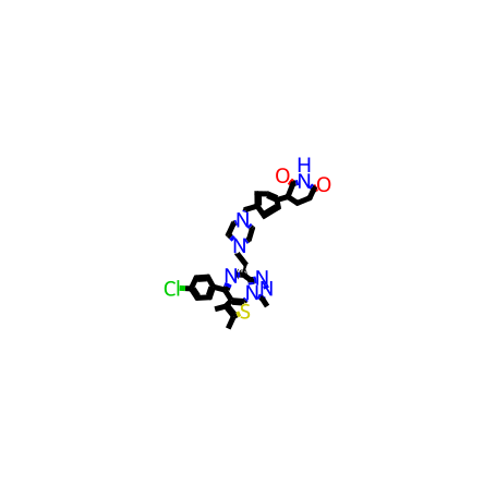 Cc1sc2c(c1C)C(c1ccc(Cl)cc1)=N[C@@H](CCN1CCN(Cc3ccc(C4CCC(=O)NC4=O)cc3)CC1)c1nnc(C)n1-2